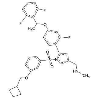 CNCc1cc(-c2ccc(OC(C)c3c(F)cccc3F)cc2F)n(S(=O)(=O)c2cccc(OCC3CCC3)c2)c1